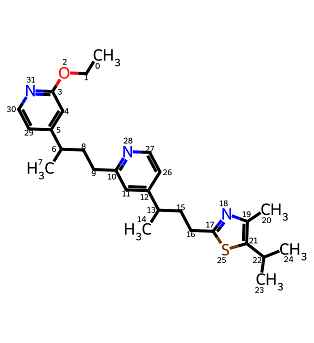 CCOc1cc(C(C)CCc2cc(C(C)CCc3nc(C)c(C(C)C)s3)ccn2)ccn1